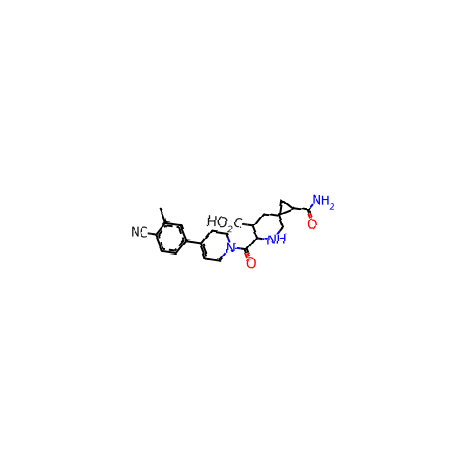 Cc1cc(C2=CCN(C(=O)C3NCC4(CC3C(=O)O)CC4C(N)=O)CC2)ccc1C#N